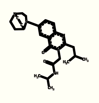 CC(C)Cc1nc2ccc(N3CCN4CCC3CC4)cc2c(=O)n1CC(=O)NC(C)C